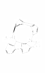 CC(=O)N1c2ccc3c(c2)Cc2cc(ccc2-3)N(C(C)=O)C2c3ccccc3-c3ccc(O)c1c32